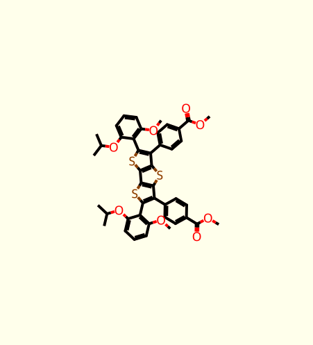 COC(=O)c1ccc(-c2c(-c3c(OC)cccc3OC(C)C)sc3c2sc2c(-c4ccc(C(=O)OC)cc4)c(-c4c(OC)cccc4OC(C)C)sc23)cc1